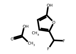 C.CC(=O)O.Oc1ccc(C(F)F)o1